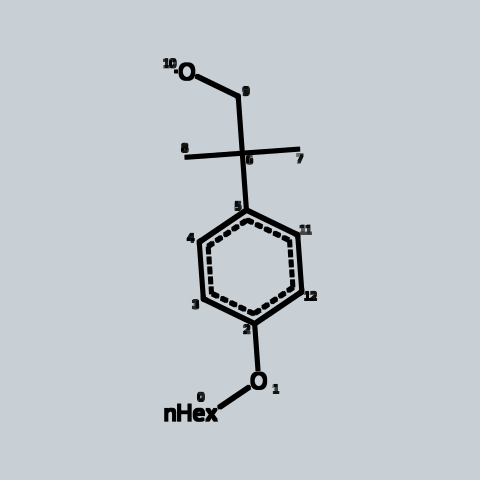 CCCCCCOc1ccc(C(C)(C)C[O])cc1